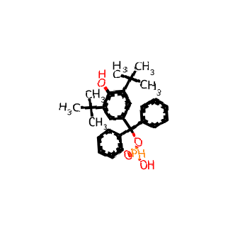 CC(C)(C)c1cc(C(O[PH](=O)O)(c2ccccc2)c2ccccc2)cc(C(C)(C)C)c1O